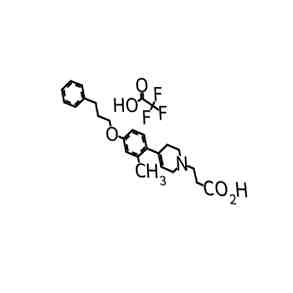 Cc1cc(OCCCc2ccccc2)ccc1C1=CCN(CCC(=O)O)CC1.O=C(O)C(F)(F)F